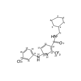 O=C(NCC1CCCCC1)c1ccc(Nc2cccc(Cl)c2)nc1C(F)(F)F